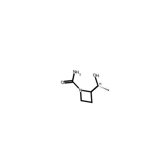 C[C@@H](O)C1CCN1C(N)=O